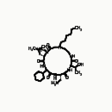 CCCCCCN1CCNC(=O)[C@H]([C@H](C)O)NC(=O)[C@H](CN)NC(=O)C(C2CCCCC2)NC(=O)[C@H](CC(C)C)N(C)C(=O)C1